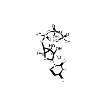 CC[C@]1(O)[C@H](n2ccc(=O)[nH]c2=O)O[C@]2(F)C(OP(=O)(O)OP(=O)(O)OP(=O)(O)O)[C@@]21O